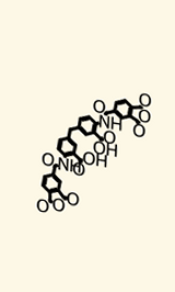 O=C(Nc1ccc(Cc2ccc(NC(=O)c3ccc4c(c3)C(=O)OC4=O)c(C(=O)O)c2)cc1C(=O)O)c1ccc2c(c1)C(=O)OC2=O